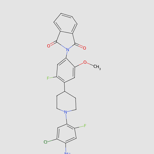 COc1cc(C2CCN(c3cc(Cl)c(N)cc3F)CC2)c(F)cc1N1C(=O)c2ccccc2C1=O